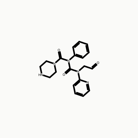 O=[C]CN(C(=O)N(C(=O)N1CCNCC1)c1ccccc1)c1ccccn1